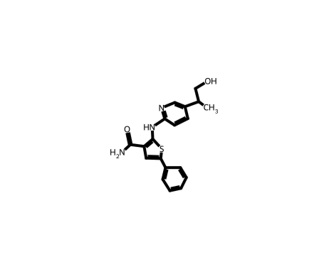 CC(CO)c1ccc(Nc2sc(-c3ccccc3)cc2C(N)=O)nc1